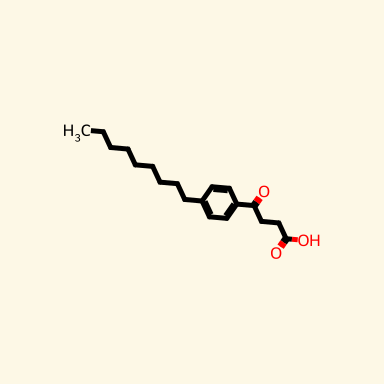 CCCCCCCCCc1ccc(C(=O)CCC(=O)O)cc1